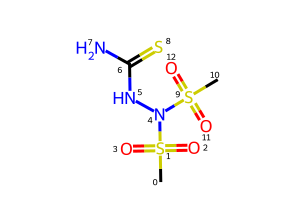 CS(=O)(=O)N(NC(N)=S)S(C)(=O)=O